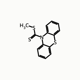 CSC(=S)N1c2ccccc2Sc2ccccc21